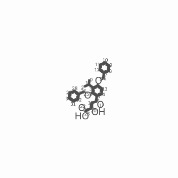 CC(C)c1c(OCc2ccccc2)ccc(C(=O)/C=C(\O)C(=O)O)c1OCc1ccccc1